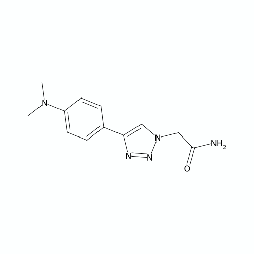 CN(C)c1ccc(-c2cn(CC(N)=O)nn2)cc1